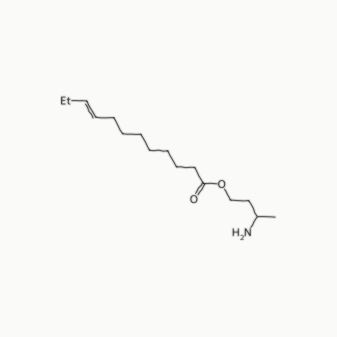 CC/C=C/CCCCCCCC(=O)OCCC(C)N